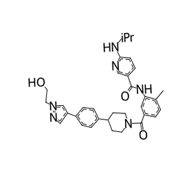 Cc1ccc(C(=O)N2CCC(c3ccc(-c4cnn(CCO)c4)cc3)CC2)cc1NC(=O)c1ccc(NC(C)C)nc1